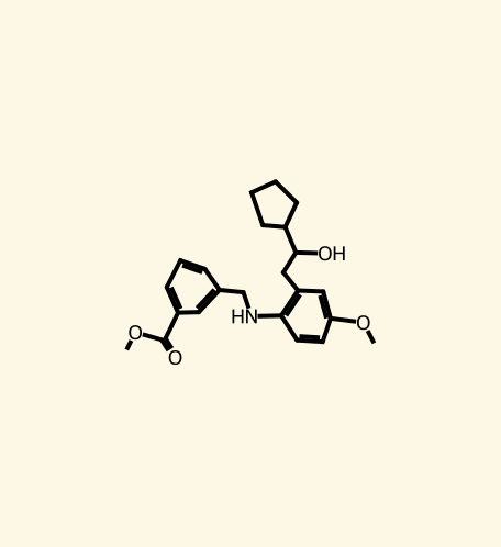 COC(=O)c1cccc(CNc2ccc(OC)cc2CC(O)C2CCCC2)c1